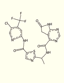 CC(NC(=O)c1ncnc2c1CC(=O)N2)c1ncc(C(=O)Nc2cc(C(F)(F)F)c(Cl)cn2)s1